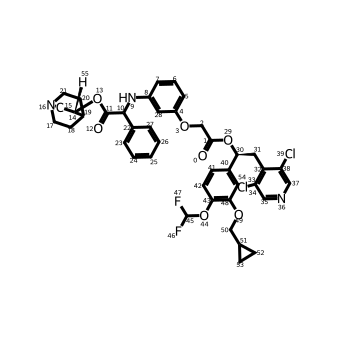 O=C(COc1cccc(NC(C(=O)O[C@H]2CN3CCC2CC3)c2ccccc2)c1)O[C@@H](Cc1c(Cl)cncc1Cl)c1ccc(OC(F)F)c(OCC2CC2)c1